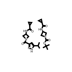 CC(C)(C)OC(=O)N1CC(NC(=O)C2CC2)C1.CC(C)c1cc(C(=O)N2CC(NC(=O)C3CC3)C2)n[nH]1